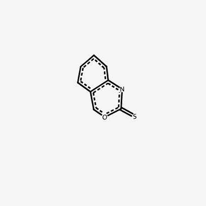 S=c1nc2ccccc2co1